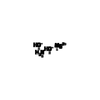 N.[Mg+2].[OH-].[OH-]